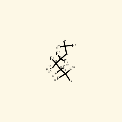 CC(F)(F)CC(F)(F)C(F)(C(F)(F)F)C(F)(F)C(C)(F)F